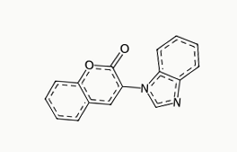 O=c1oc2ccccc2cc1-n1cnc2ccccc21